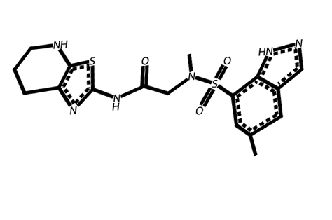 Cc1cc(S(=O)(=O)N(C)CC(=O)Nc2nc3c(s2)NCCC3)c2[nH]ncc2c1